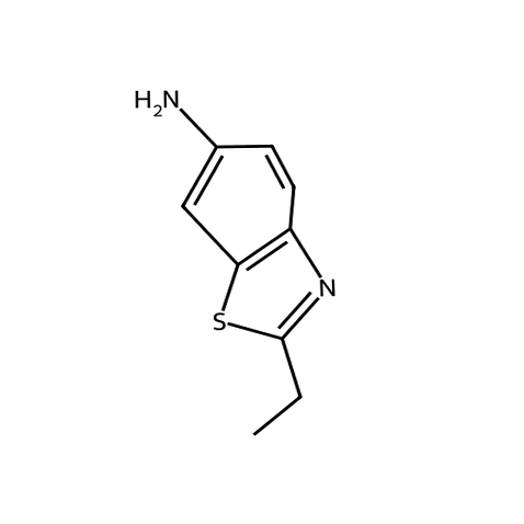 CCc1nc2ccc(N)cc2s1